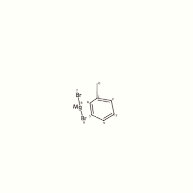 Cc1c[c]ccc1.[Br][Mg][Br]